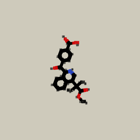 COC(=O)C(C)(C)c1cnc(C(=O)c2ccc(C(=O)O)cc2)c2ccccc12